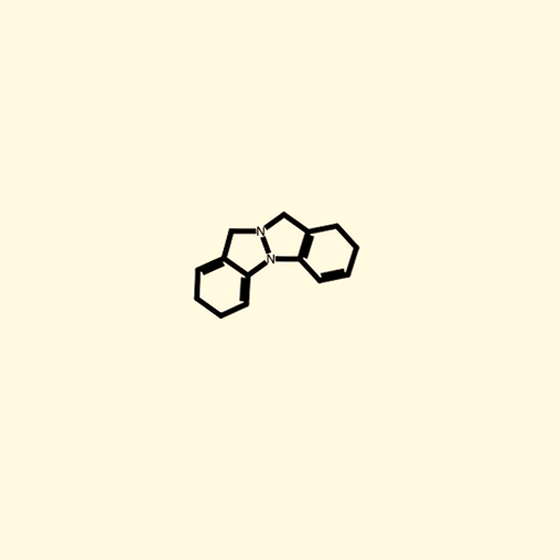 C1=CC2=C(CC1)CN1CC3=CCCC=C3N21